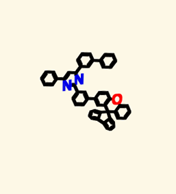 c1ccc(-c2cccc(-c3cc(-c4ccccc4)nc(-c4cccc(-c5ccc6c(c5)C5(c7ccccc7O6)c6ccccc6-c6ccccc65)c4)n3)c2)cc1